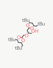 CC(C)(C)CC1CC(C(C)(C)C)OC(COC(CO)CC2OC(CC(C)(C)C)CC(C(C)(C)C)O2)O1